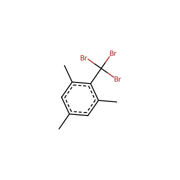 Cc1cc(C)c(C(Br)(Br)Br)c(C)c1